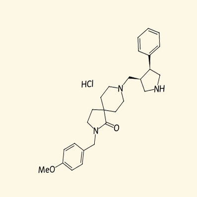 COc1ccc(CN2CCC3(CCN(C[C@@H]4CNC[C@@H]4c4ccccc4)CC3)C2=O)cc1.Cl